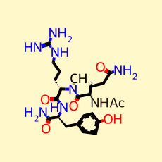 CC(=O)N[C@@H](CCC(N)=O)C(=O)N(C)[C@@H](CCCNC(=N)N)C(=O)N[C@@H](Cc1ccc(O)cc1)C(N)=O